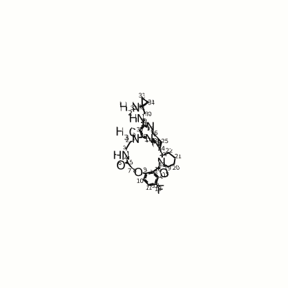 CN1CCNC(=O)COc2ccc(F)cc2C(=O)N2CCCCC2c2cc3nc(NCC4(N)CC4)cc1n3n2